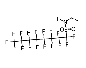 [CH2]CN(F)S(=O)(=O)C(F)(F)C(F)(F)C(F)(F)C(F)(F)C(F)(F)C(F)(F)C(F)(F)C(F)(F)F